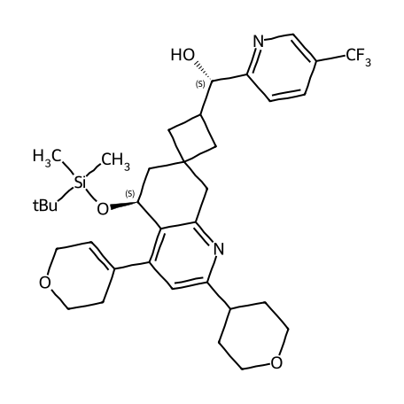 CC(C)(C)[Si](C)(C)O[C@H]1CC2(Cc3nc(C4CCOCC4)cc(C4=CCOCC4)c31)CC([C@H](O)c1ccc(C(F)(F)F)cn1)C2